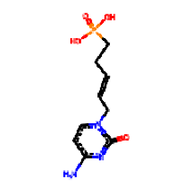 Nc1ccn(CC=CCCP(=O)(O)O)c(=O)n1